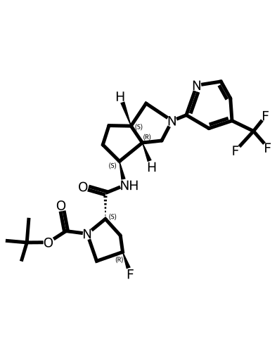 CC(C)(C)OC(=O)N1C[C@H](F)C[C@H]1C(=O)N[C@H]1CC[C@@H]2CN(c3cc(C(F)(F)F)ccn3)C[C@@H]21